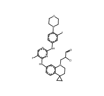 O=CC(Cl)CN1CCC2(CC2)c2ccc(Nc3nc(Nc4ccc(N5CCOCC5)c(F)c4)ncc3F)cc21